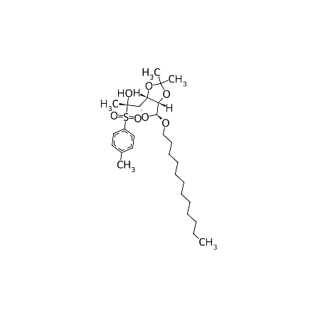 CCCCCCCCCCCCO[C@H]1O[C@H]([C@@](C)(O)S(=O)(=O)c2ccc(C)cc2)[C@@H]2OC(C)(C)O[C@H]12